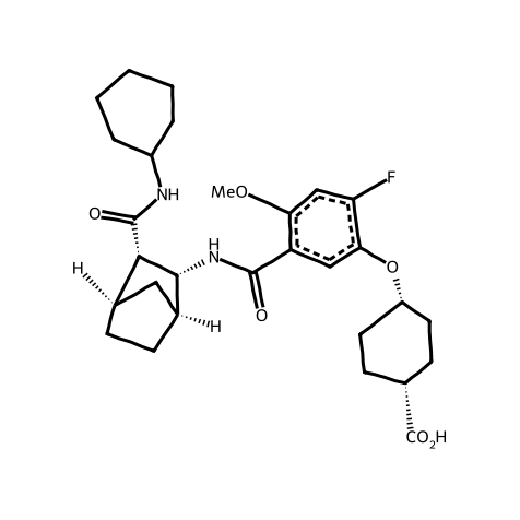 COc1cc(F)c(O[C@H]2CC[C@@H](C(=O)O)CC2)cc1C(=O)N[C@@H]1[C@H]2CC[C@H](C2)[C@@H]1C(=O)NC1CCCCC1